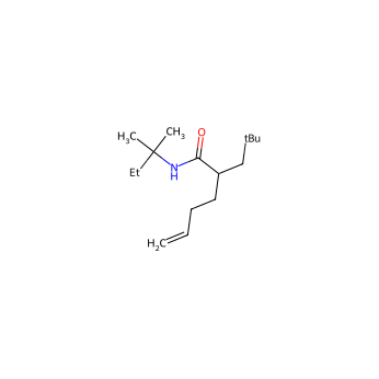 C=CCCC(CC(C)(C)C)C(=O)NC(C)(C)CC